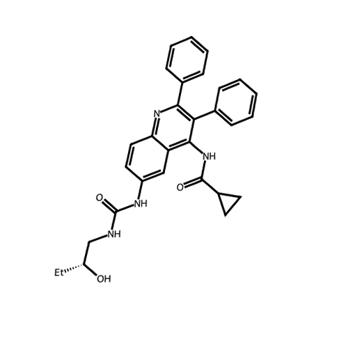 CC[C@@H](O)CNC(=O)Nc1ccc2nc(-c3ccccc3)c(-c3ccccc3)c(NC(=O)C3CC3)c2c1